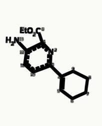 CCOC(=O)c1nc(C2=CCCCC2)ccc1N